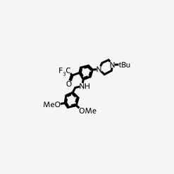 COc1cc(CNc2cc(N3CCN(C(C)(C)C)CC3)ccc2C(=O)C(F)(F)F)cc(OC)c1